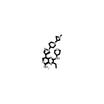 CCc1nc2c(N)ncc(-c3cnn(C4CCN(C5CN(C)C5)CC4)c3)c2nc1NC1CCOCC1